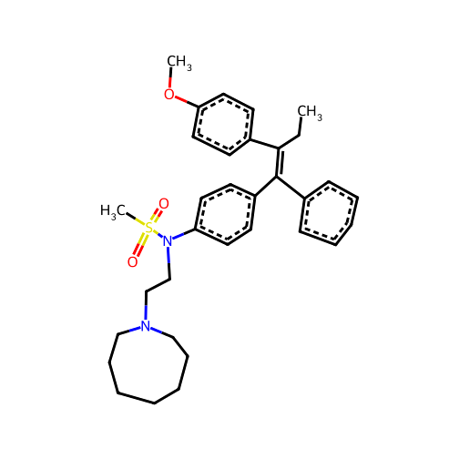 CCC(=C(c1ccccc1)c1ccc(N(CCN2CCCCCCC2)S(C)(=O)=O)cc1)c1ccc(OC)cc1